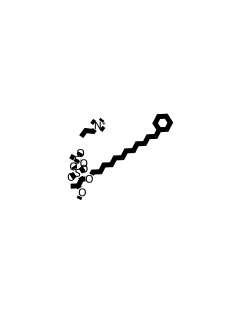 CCC[N+](C)(C)C.COC(C)C(OCCCCCCCCCCCCC1CCCCC1)S(=O)(=O)OS(C)(=O)=O